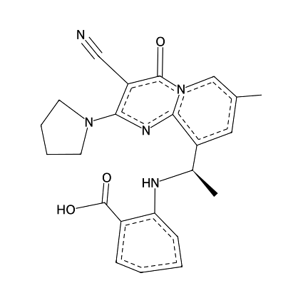 Cc1cc([C@@H](C)Nc2ccccc2C(=O)O)c2nc(N3CCCC3)c(C#N)c(=O)n2c1